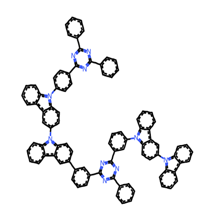 c1ccc(-c2nc(-c3ccccc3)nc(-c3ccc(-n4c5ccccc5c5cc(-n6c7ccccc7c7cc(-c8cccc(-c9nc(-c%10ccccc%10)nc(-c%10cccc(-n%11c%12ccccc%12c%12cc(-n%13c%14ccccc%14c%14ccccc%14%13)ccc%12%11)c%10)n9)c8)ccc76)ccc54)cc3)n2)cc1